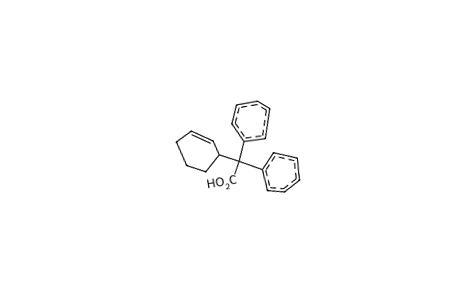 O=C(O)C(c1ccccc1)(c1ccccc1)C1C=CCCC1